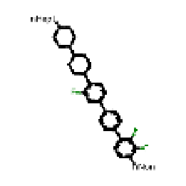 CCCCCCCCCc1ccc(-c2ccc(-c3ccc(C4CCC(C5CCC(CCCCCCC)CC5)CC4)c(F)c3)cc2)c(F)c1F